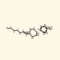 CCCCCCC[Si@H]1CC[C@H](c2ccc(Cl)cc2)CC1